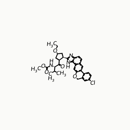 CCO[C@@H]1CC(C(=O)[C@@H](NC(=O)OC)C(C)C)[C@H](c2nc3ccc4cc5c(cc4c3[nH]2)OCc2cc(Cl)ccc2-5)C1